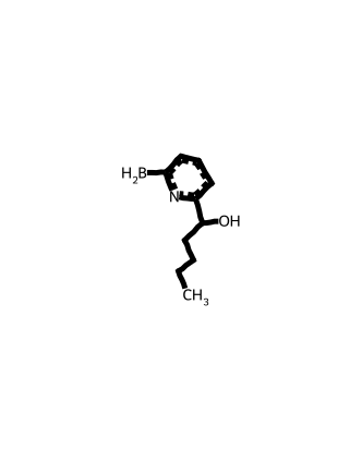 Bc1cccc(C(O)CCCC)n1